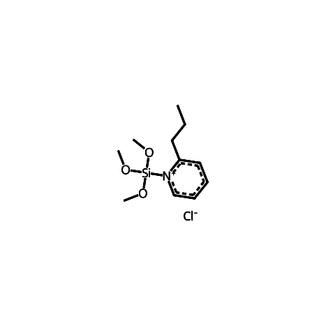 CCCc1cccc[n+]1[Si](OC)(OC)OC.[Cl-]